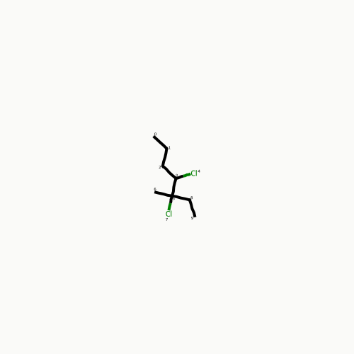 CC[CH]C(Cl)C(C)(Cl)CC